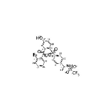 C[C@H](NS(=O)(=O)C(F)(F)F)c1ccc(S(=O)(=O)c2ccc(O)cc2S(=O)(=O)c2ccccc2F)cc1